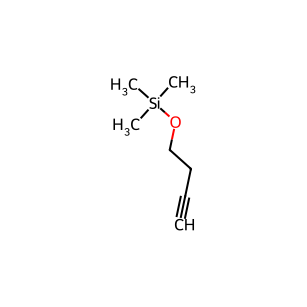 C#CCCO[Si](C)(C)C